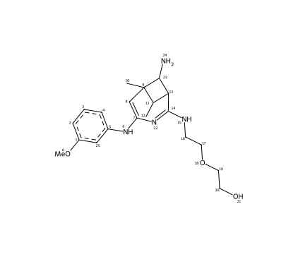 COc1cccc(NC2=CC3(C)C(C)C(C(NCCOCCO)=N2)C3N)c1